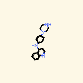 c1ccc2c(Nc3ccc(N4CCNCC4)cc3)ccnc2c1